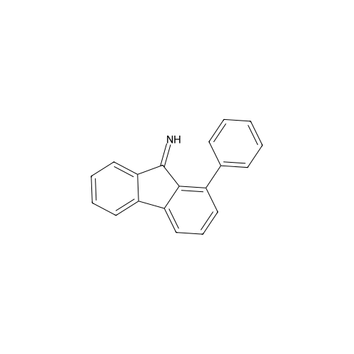 N=C1c2ccccc2-c2cccc(-c3ccccc3)c21